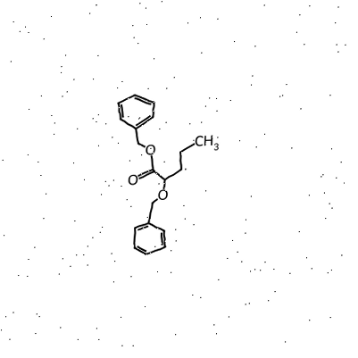 CC[CH]C(OCc1ccccc1)C(=O)OCc1ccccc1